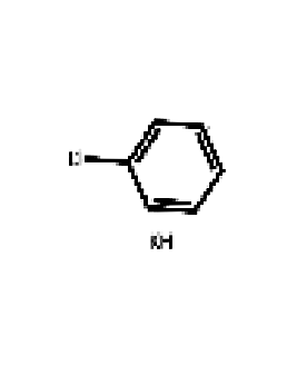 Clc1c[c]ccc1.[KH]